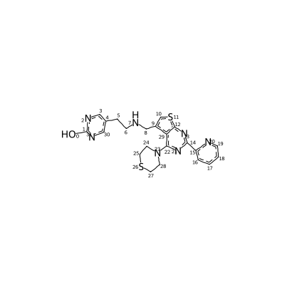 Oc1ncc(CCNCc2csc3nc(-c4ccccn4)nc(N4CCSCC4)c23)cn1